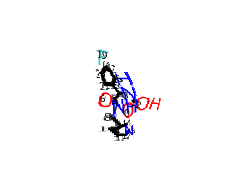 O=C(O)NC(C(=O)NCc1cccnc1)c1ccc(F)cc1